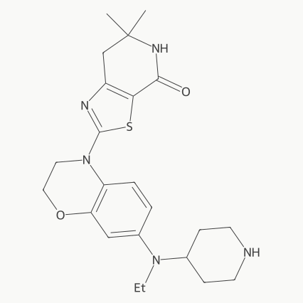 CCN(c1ccc2c(c1)OCCN2c1nc2c(s1)C(=O)NC(C)(C)C2)C1CCNCC1